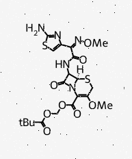 CO/N=C(\C(=O)NC1C(=O)N2C(C(=O)OCOC(=O)C(C)(C)C)=C(OC)CS[C@H]12)c1csc(N)n1